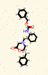 O=C1CN(C[C@@H]2CCCC[C@H]2NC(=O)OCc2ccccc2)C[C@H](Cc2ccccc2)O1